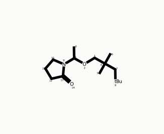 CC(OCC(C)(C)CC(C)(C)C)N1CCCC1=O